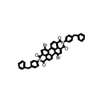 O=C1c2ccc3c4c(Br)cc5c6c(ccc(c7c(Br)cc(c2c37)C(=O)N1c1ccc(Cc2ccccc2)cc1)c64)C(=O)N(c1ccc(Cc2ccccc2)cc1)C5=O